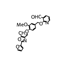 COc1cc(COc2ncccc2C=O)ccc1OCc1nc(-c2ccco2)oc1C